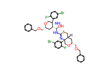 N[C@@]1(c2cc(Br)ccc2F)CO[C@@H](COCc2ccccc2)C[C@H]1C(O)NC1=N[C@@]2(c3cc(Br)ccc3F)CO[C@@H](COCc3ccccc3)C[C@H]2CS1